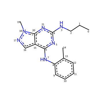 CCCNc1nc(Nc2ccccc2C)c2cnn(C)c2n1